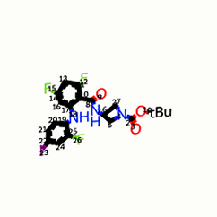 CC(C)(C)OC(=O)N1CC(NC(=O)c2c(F)cc(F)cc2Nc2ccc(I)cc2F)C1